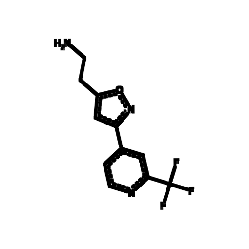 NCCc1cc(-c2ccnc(C(F)(F)F)c2)no1